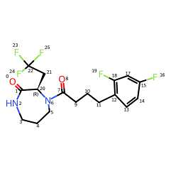 O=C1NCCCN(C(=O)CCCc2ccc(F)cc2F)[C@@H]1CC(F)(F)F